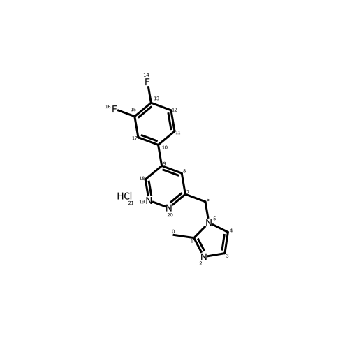 Cc1nccn1Cc1cc(-c2ccc(F)c(F)c2)cnn1.Cl